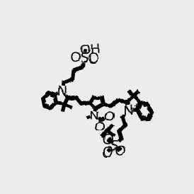 CN(C(=O)OC(C)(C)C)C1=C(/C=C/C2=[N+](CCCCS(=O)(=O)[O-])c3ccccc3C2(C)C)CC/C1=C\C=C1\N(CCCCS(=O)(=O)O)c2ccccc2C1(C)C